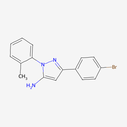 Cc1ccccc1-n1nc(-c2ccc(Br)cc2)cc1N